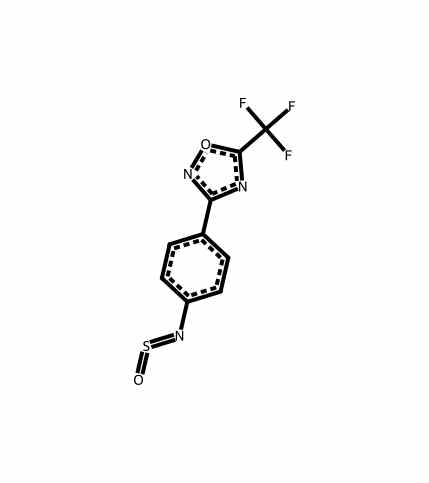 O=S=Nc1ccc(-c2noc(C(F)(F)F)n2)cc1